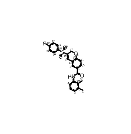 Cc1cccc(NC(=O)c2ccc3c(c2)C=C(S(=O)(=O)c2ccc(F)cc2)CO3)c1C